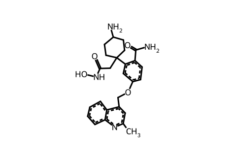 Cc1cc(COc2ccc(C(N)=O)c(C3(CC(=O)NO)CCC(N)CC3)c2)c2ccccc2n1